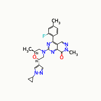 Cc1ccc(-c2nc(N3C[C@H](C)O[C@@H](c4cnn(C5CC5)c4)C3)nc3c(=O)n(C)ncc23)c(F)c1